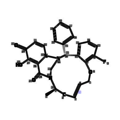 C[C@@H]1C/C=C/COc2c(F)cccc2[C@@H](c2ccccc2)N2CN1C(=O)c1c(O)c(=O)ccn12